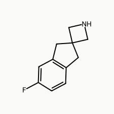 Fc1ccc2c(c1)CC1(CNC1)C2